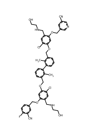 Cc1c(COc2cc(OCc3cncc(C#N)c3)c(CNCCO)cc2Cl)cccc1-c1cccc(COc2cc(OCc3ccc(F)c(C#N)c3)c(CNCCO)cc2Cl)c1C